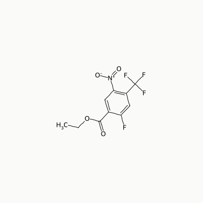 CCOC(=O)c1cc([N+](=O)[O-])c(C(F)(F)F)cc1F